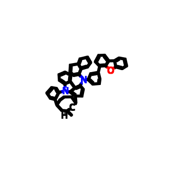 C[C@@H]1CC2CCCC(C1)c1ccc(N(c3cccc(-c4cccc5c4oc4ccccc45)c3)c3cccc4ccccc34)c3c4ccccc4n(c13)-c1ccccc12